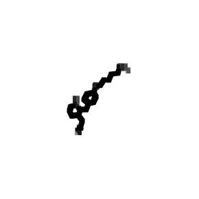 CCCCCCOc1ccc(C=C2NC=CC=C2CC#N)cc1